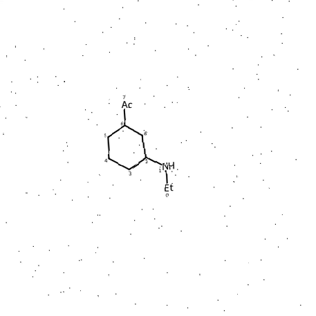 CCNC1CCCC(C(C)=O)C1